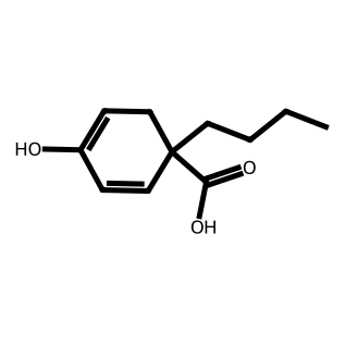 CCCCC1(C(=O)O)C=CC(O)=CC1